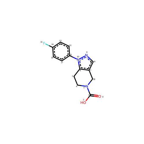 O=C(O)N1CCc2c(cnn2-c2ccc(F)cc2)C1